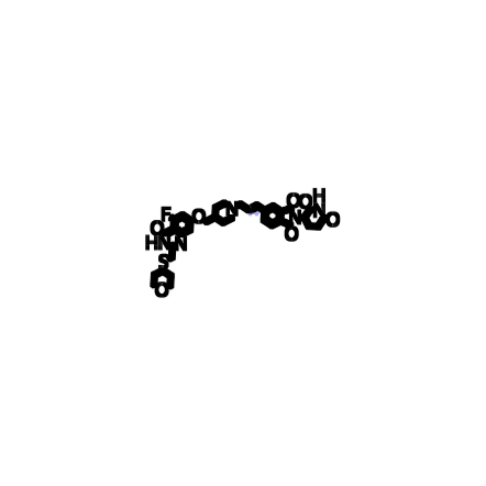 O=C1CCC(N2C(=O)c3ccc(/C=C/CN4CCC(COc5cc(F)c6c(=O)[nH]c(CSC7CCOCC7)nc6c5)CC4)cc3C2=O)C(=O)N1